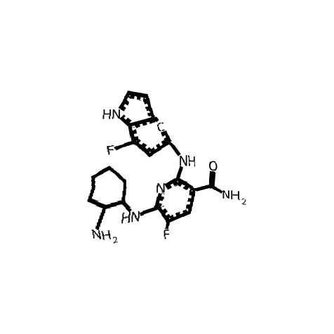 NC(=O)c1cc(F)c(NC2CCCCC2N)nc1Nc1cc(F)c2[nH]ccc2c1